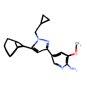 Nc1ncc(-c2cc(C3C4CCCC43)n(CC3CC3)n2)cc1OC(F)(F)F